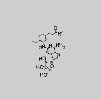 CCc1ccc(CCC(=O)N(C)C)cc1Nc1nc(N)c2ncn([C@@H]3O[C@H](CO)[C@@H](O)[C@H]3O)c2n1